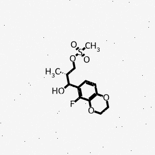 C[C@H](COS(C)(=O)=O)C(O)c1ccc2c(c1F)OCCO2